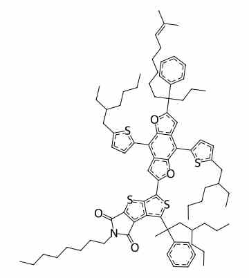 CCCCCCCCN1C(=O)c2sc3c(-c4cc5c(-c6ccc(CC(CC)CCCC)s6)c6oc(C(CCC)(CCCCCC=C(C)C)c7ccccc7)cc6c(-c6ccc(CC(CC)CCCC)s6)c5o4)sc(C(C)(CC(CCC)CCC)c4ccccc4)c3c2C1=O